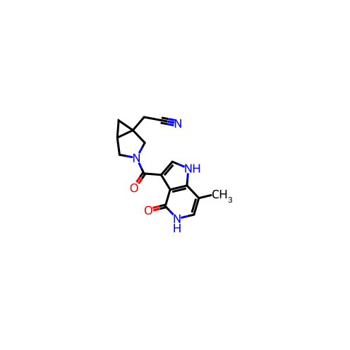 Cc1c[nH]c(=O)c2c(C(=O)N3CC4CC4(CC#N)C3)c[nH]c12